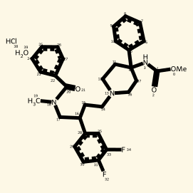 COC(=O)NC1(c2ccccc2)CCN(CCC(CN(C)C(=O)c2ccccc2)c2ccc(F)c(F)c2)CC1.Cl.O